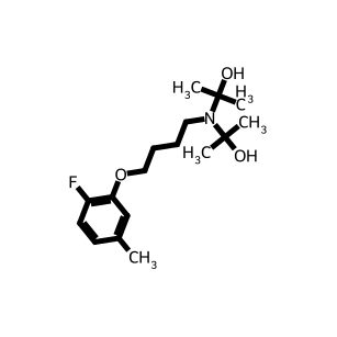 Cc1ccc(F)c(OCCCCN(C(C)(C)O)C(C)(C)O)c1